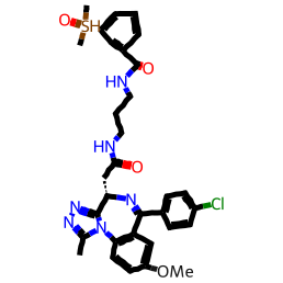 COc1ccc2c(c1)C(c1ccc(Cl)cc1)=N[C@@H](CC(=O)NCCCNC(=O)c1cccc([SH](C)(C)=O)c1)c1nnc(C)n1-2